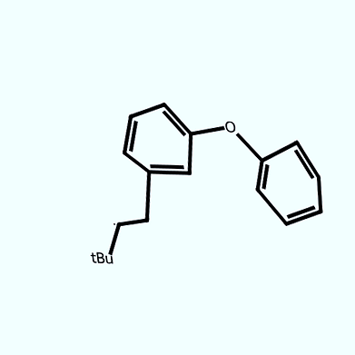 CC(C)(C)[CH]Cc1cccc(Oc2ccccc2)c1